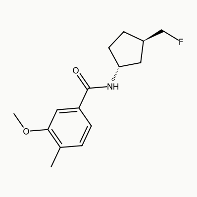 COc1cc(C(=O)N[C@@H]2CC[C@@H](CF)C2)ccc1C